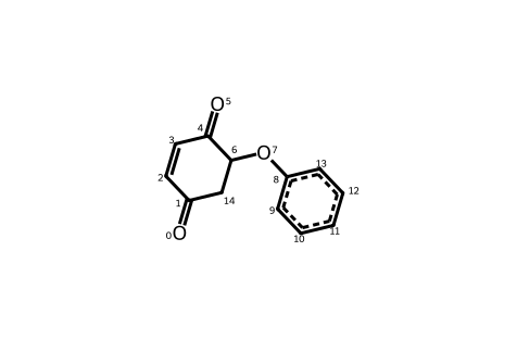 O=C1C=CC(=O)C(Oc2ccccc2)C1